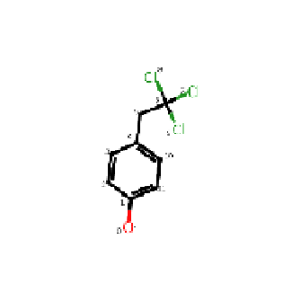 [O]c1ccc(CC(Cl)(Cl)Cl)cc1